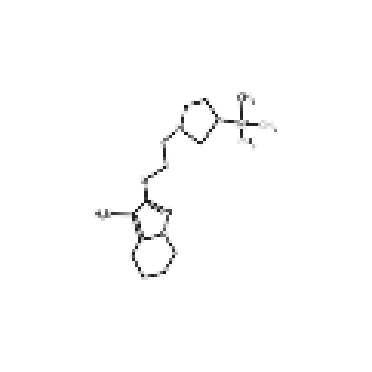 C[N+](C)(C)C1CCN(CCOc2nn3c(c2N)CCCC3)C1